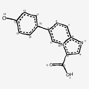 O=C(O)c1cnc2ccc(-c3ccc(Cl)cc3)cn12